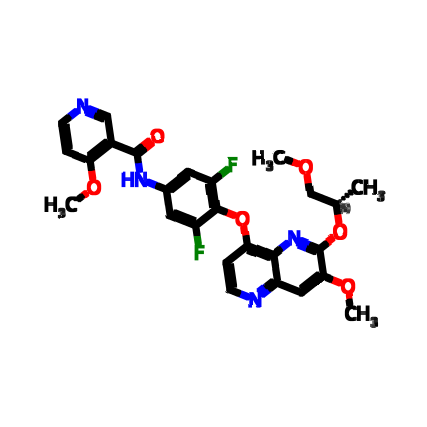 COC[C@H](C)Oc1nc2c(Oc3c(F)cc(NC(=O)c4cnccc4OC)cc3F)ccnc2cc1OC